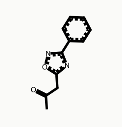 CC(=O)Cc1nc(-c2ccccc2)no1